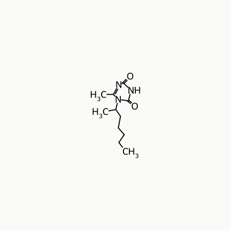 CCCCCC(C)n1c(C)nc(=O)[nH]c1=O